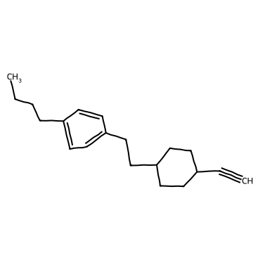 C#CC1CCC(CCc2ccc(CCCC)cc2)CC1